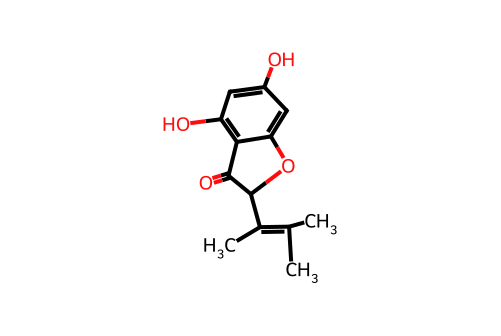 CC(C)=C(C)C1Oc2cc(O)cc(O)c2C1=O